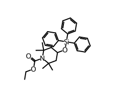 CCOC(=O)N1C(C)(C)CC(O[Si](c2ccccc2)(c2ccccc2)c2ccccc2)CC1(C)C